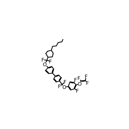 CCCCCC1CCC(C(F)(F)Oc2ccc(-c3ccc(C(F)(F)Oc4cc(F)c(OC(F)=C(F)F)c(F)c4)cc3)cc2)CC1